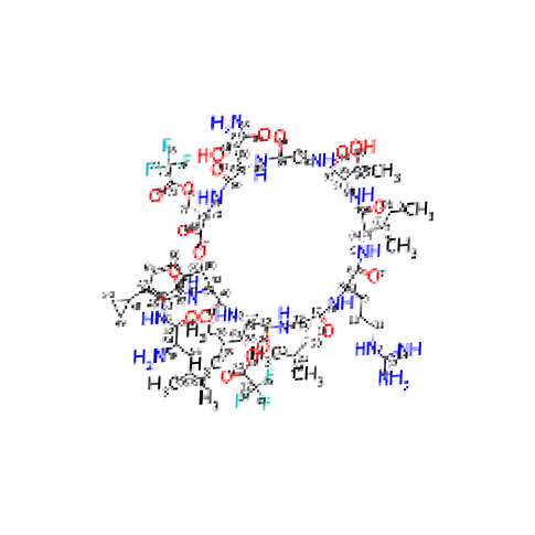 CC[C@H](C)[C@@H]1NC(=O)[C@@H](CCCNC(=N)N)NC(=O)[C@H](CC(C)C)NC(=O)[C@H]([C@H](OC(=O)C(F)(F)F)C(C)C)NC(=O)[C@@H](NC(=O)[C@H](CC2CC2)NC(=O)[C@H](N)CC(C)C)[C@@H](c2ccccc2)OC(=O)[C@H](COC(=O)C(F)(F)F)NC(=O)[C@H]([C@H](O)C(N)=O)NC(=O)CNC(=O)[C@H]([C@H](C)O)NC1=O